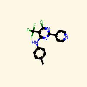 Cc1ccc(Nc2nc(-c3ccncc3)nc(Cl)c2C(F)(F)F)cc1